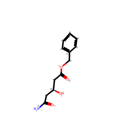 NC(=O)C[C@H](O)CC(=O)OCc1ccccc1